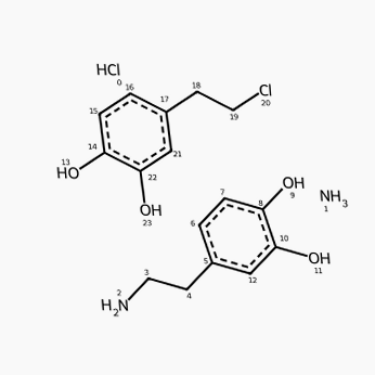 Cl.N.NCCc1ccc(O)c(O)c1.Oc1ccc(CCCl)cc1O